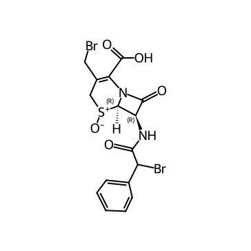 O=C(O)C1=C(CBr)C[S+]([O-])[C@@H]2[C@H](NC(=O)C(Br)c3ccccc3)C(=O)N12